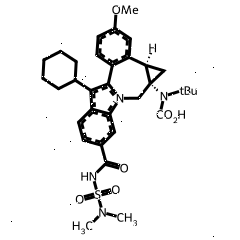 COc1ccc2c(c1)[C@H]1C[C@@]1(N(C(=O)O)C(C)(C)C)Cn1c-2c(C2CCCCC2)c2ccc(C(=O)NS(=O)(=O)N(C)C)cc21